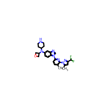 Cc1cc(C(F)F)nn1-c1nc(-n2cnc3cc(N(C4CCNCC4)C4COC4)ccc32)ccc1C#N